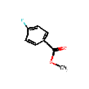 COC(=O)c1[c]cc(F)cc1